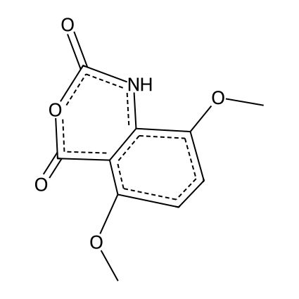 COc1ccc(OC)c2c(=O)oc(=O)[nH]c12